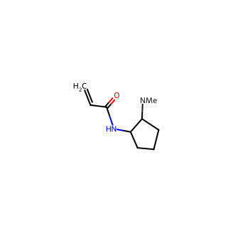 C=CC(=O)NC1CCCC1NC